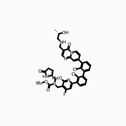 COc1nc(-c2cccc(-c3cccc(-c4ccn5c(=O)c(CNC[C@H](C)O)cnc5c4)c3Cl)c2Cl)cc(F)c1CN(C[C@@H]1CCC(=O)N1)C(=O)OC(C)(C)C